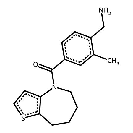 Cc1cc(C(=O)N2CCCCc3sccc32)ccc1CN